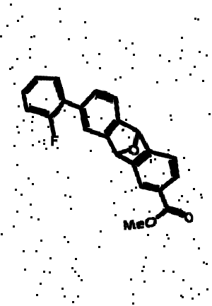 COC(=O)c1ccc2c(c1)C1OC2c2ccc(-c3ccccc3F)cc21